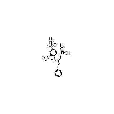 CN(C)CCC(CSc1ccccc1)Nc1ccc(S(N)(=O)=O)cc1[N+](=O)[O-]